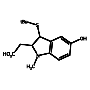 CN1c2ccc(O)cc2C(SC(C)(C)C)C1CC(=O)O